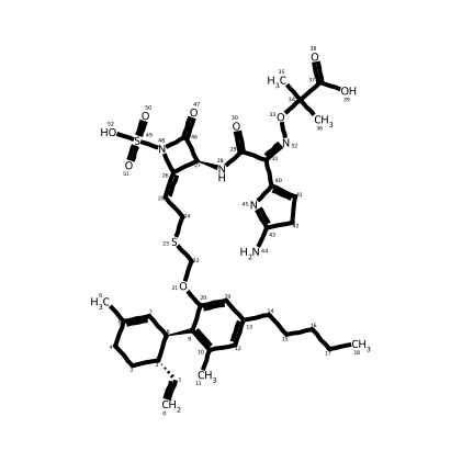 C=C[C@@H]1CCC(C)=C[C@H]1c1c(C)cc(CCCCC)cc1OCSC/C=C1\[C@H](NC(=O)/C(=N\OC(C)(C)C(=O)O)C2=CCC(N)=N2)C(=O)N1S(=O)(=O)O